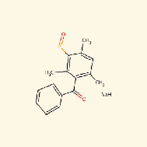 Cc1cc(C)c(C(=O)c2ccccc2)c(C)c1P=O.[NaH]